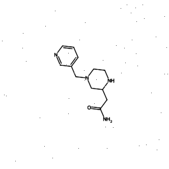 NC(=O)CC1CN(Cc2cccnc2)CCN1